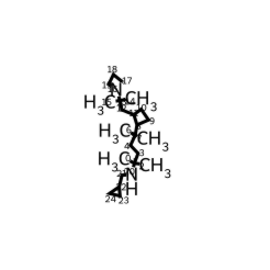 CC(C)(CCC(C)(C)C1CCC1CC(C)(C)N1CCC1)NCC1CC1